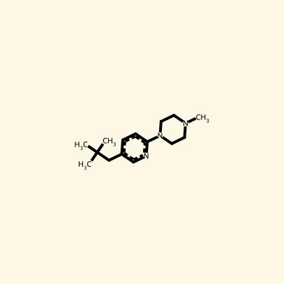 CN1CCN(c2ccc(CC(C)(C)C)cn2)CC1